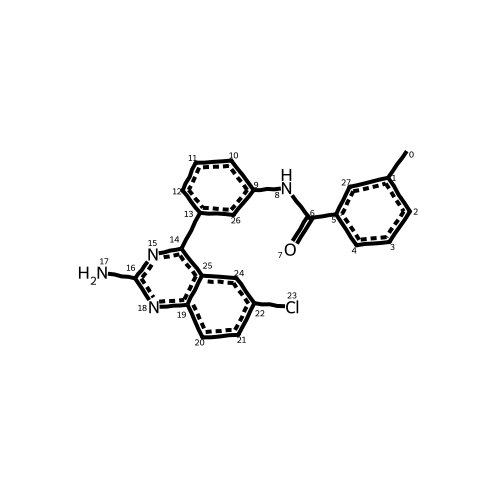 Cc1cccc(C(=O)Nc2cccc(-c3nc(N)nc4ccc(Cl)cc34)c2)c1